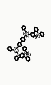 O=S1(=O)c2ccc(-c3nc(-c4ccccc4)nc(-c4ccc(-c5ccc(-c6nc(-c7ccccc7)nc(-n7c8ccccc8c8cc9c(cc87)N(c7ccccc7)S(=O)(=O)c7ccccc7-9)n6)cc5)cc4)n3)cc2-c2ccccc2N1c1ccccc1